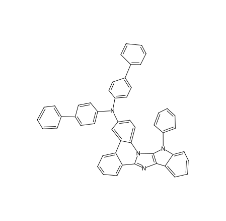 c1ccc(-c2ccc(N(c3ccc(-c4ccccc4)cc3)c3ccc4c(c3)c3ccccc3c3nc5c6ccccc6n(-c6ccccc6)c5n43)cc2)cc1